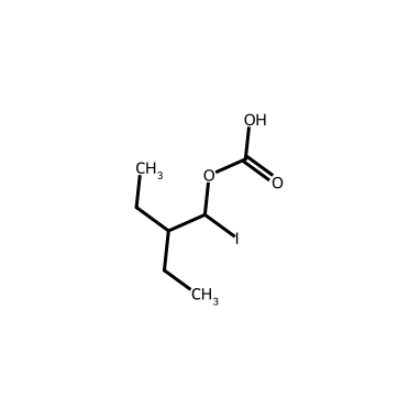 CCC(CC)C(I)OC(=O)O